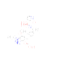 COc1cc(C(CC(=O)O)c2ccc(C)c(CN3CCOc4ncccc4S3(O)O)c2)cc2nnn(C)c12